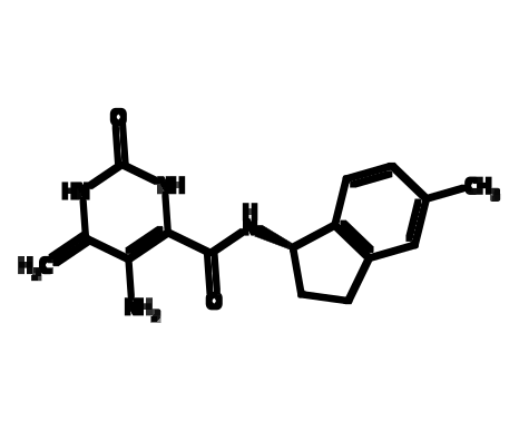 C=C1NC(=O)NC(C(=O)N[C@@H]2CCc3cc(C)ccc32)=C1N